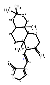 C=C1CCC2C3(C)COC(C)(C)OC3CCC2(C)C1/C=C/C1=CCOC1=O